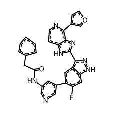 O=C(Cc1ccccc1)Nc1cncc(-c2cc3c(-c4nc5c(-c6ccoc6)nccc5[nH]4)n[nH]c3cc2F)c1